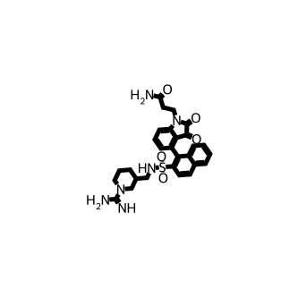 N=C(N)N1CCCC(CNS(=O)(=O)c2ccc3ccccc3c2-c2cccc3c2C(=O)C(=O)N3CCC(N)=O)C1